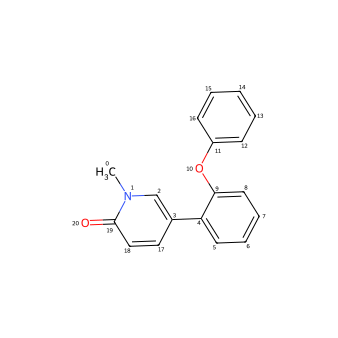 Cn1cc(-c2ccccc2Oc2ccccc2)ccc1=O